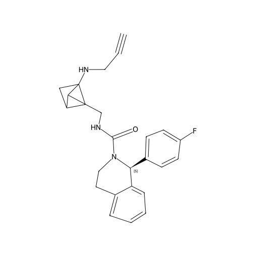 C#CCNC12CC(C1)C2CNC(=O)N1CCc2ccccc2[C@@H]1c1ccc(F)cc1